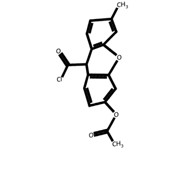 CC(=O)Oc1ccc2c(c1)Oc1cc(C)ccc1C2C(=O)Cl